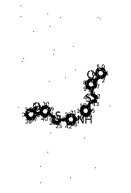 c1ccc2c(c1)oc1ccc(-c3ccc(-c4ccc(Nc5ccc(-c6ccc(-c7ccc8oc9ccccc9c8c7)s6)cc5)cc4)s3)cc12